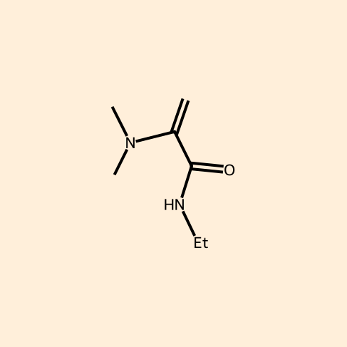 C=C(C(=O)NCC)N(C)C